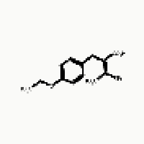 CC(C)C(C(=O)O)=C(Cc1ccc(OCC(=O)O)cc1)C(=O)O